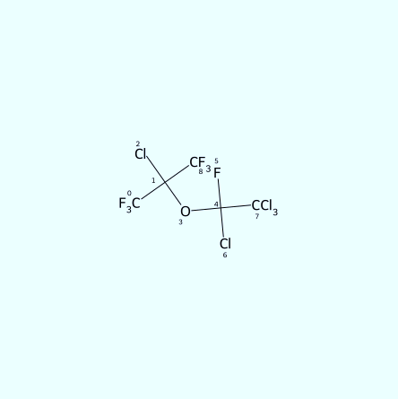 FC(F)(F)C(Cl)(OC(F)(Cl)C(Cl)(Cl)Cl)C(F)(F)F